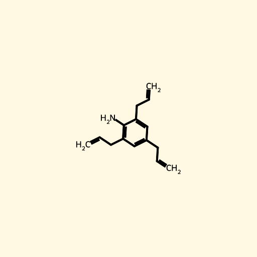 C=CCc1cc(CC=C)c(N)c(CC=C)c1